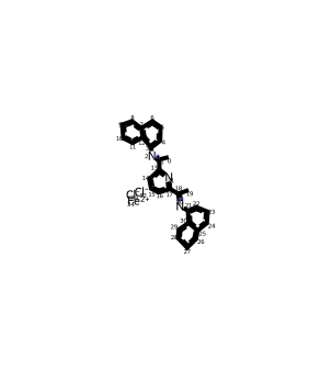 C/C(=N\c1cccc2ccccc12)c1cccc(/C(C)=N/c2cccc3ccccc23)n1.[Cl-].[Cl-].[Fe+2]